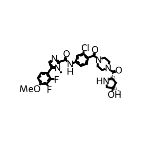 COc1ccc(-c2cnc(C(=O)Nc3ccc(C(=O)N4CCN(C(=O)[C@@H]5C[C@@](C)(O)CN5)CC4)c(Cl)c3)n2C)c(F)c1F